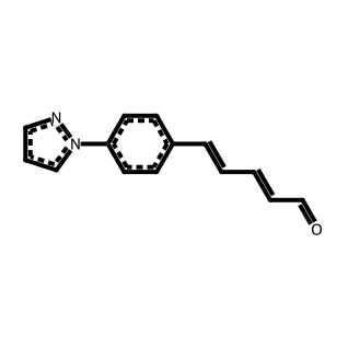 O=CC=CC=Cc1ccc(-n2cccn2)cc1